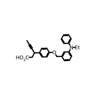 CC#CC(CC(=O)O)c1ccc(OCc2cccc(N(CC)c3ccccc3)c2)cc1